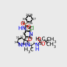 C[C@H](CNC(=O)OC(C)(C)C)NC(=O)C1(c2cnc(Cl)c(NS(=O)(=O)c3ccccc3)c2)C=CC=NC1